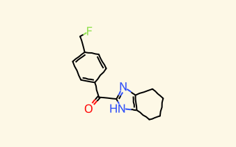 O=C(c1ccc(CF)cc1)c1nc2c([nH]1)CCCC2